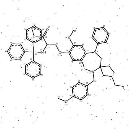 CCCCC1(CC)CN(c2ccccc2)c2cc(SC)c(OCC(NC(c3ccccc3)(c3ccccc3)c3ccccc3)C(=O)OC)cc2SN1Cc1ccc(OC)cc1